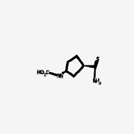 NC(=S)[C@@H]1CC[C@H](NC(=O)O)C1